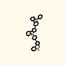 c1ccc(-n2c3ccccc3c3cc(-c4ccc5c(c4)c4ccccc4n5-c4ccc(-c5ccc6c(c5)-c5ccccc5SC6)cc4)ccc32)cc1